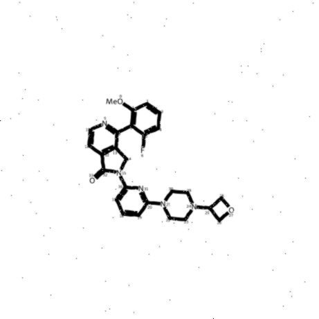 COc1cccc(F)c1-c1nccc2c1CN(c1cccc(N3CCN(C4COC4)CC3)n1)C2=O